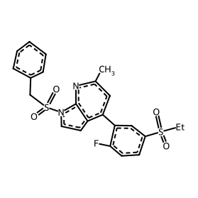 CCS(=O)(=O)c1ccc(F)c(-c2cc(C)nc3c2ccn3S(=O)(=O)Cc2ccccc2)c1